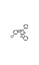 Clc1cccc(C2NC(c3ccccc3)=NC(c3ccccc3)N2)c1